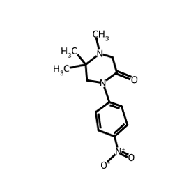 CN1CC(=O)N(c2ccc([N+](=O)[O-])cc2)CC1(C)C